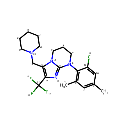 Cc1cc(C)c(N2CCCn3c2nc(C(F)(F)F)c3CN2CCCCC2)c(Cl)c1